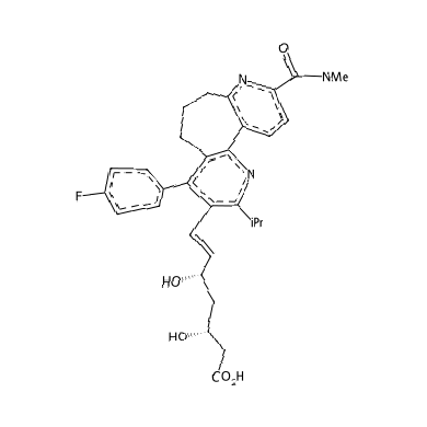 CNC(=O)c1ccc2c(n1)CCCc1c-2nc(C(C)C)c(/C=C/[C@@H](O)C[C@@H](O)CC(=O)O)c1-c1ccc(F)cc1